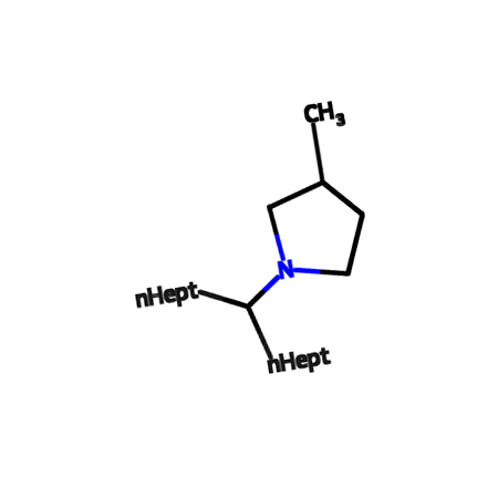 CCCCCCCC(CCCCCCC)N1CCC(C)C1